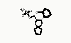 NS(=O)(=O)OC[C@@H]1OC2(CCCC2)O[C@H]1c1ccccc1Cl